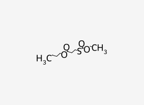 CCCCOC(=O)CCSC(=O)OCC